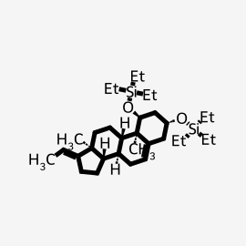 CC=C1CC[C@H]2[C@@H]3CC=C4C[C@@H](O[Si](CC)(CC)CC)C[C@H](O[Si](CC)(CC)CC)[C@]4(C)[C@H]3CC[C@]12C